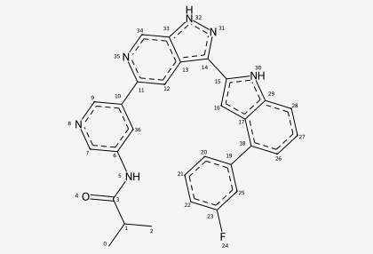 CC(C)C(=O)Nc1cncc(-c2cc3c(-c4cc5c(-c6cccc(F)c6)cccc5[nH]4)n[nH]c3cn2)c1